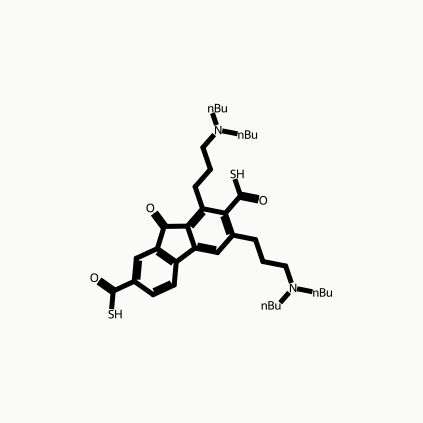 CCCCN(CCCC)CCCc1cc2c(c(CCCN(CCCC)CCCC)c1C(=O)S)C(=O)c1cc(C(=O)S)ccc1-2